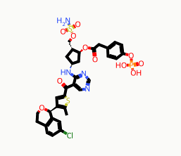 Cc1sc(C(=O)c2cncnc2N[C@@H]2C[C@H](COS(N)(=O)=O)[C@@H](OC(=O)Cc3ccc(OP(=O)(O)O)cc3)C2)cc1[C@@H]1OCCc2ccc(Cl)cc21